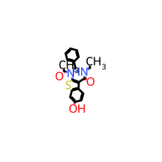 CCNC(=O)c1c(N(Cc2ccccc2)C(C)=O)sc2cc(O)ccc12